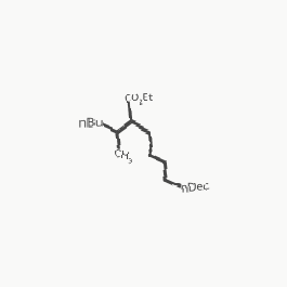 CCCCCCCCCCCCCCC(C(=O)OCC)C(C)CCCC